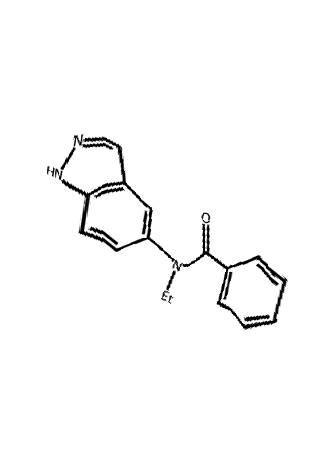 CCN(C(=O)c1ccccc1)c1ccc2[nH]ncc2c1